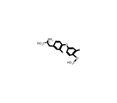 N[C@@H](Cc1ccc(Oc2ccc(OS(=O)(=O)O)c(I)c2)c(I)c1)C(=O)O